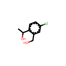 CC(O)c1ccc(Cl)cc1CO